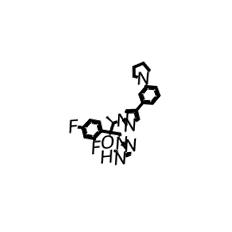 C[C@@H](n1cc(-c2cccc(N3CCCC3)c2)cn1)[C@](O)(Cn1cncn1)c1ccc(F)cc1F